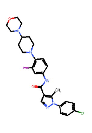 Cc1c(C(=O)Nc2ccc(N3CCC(N4CCOCC4)CC3)c(I)c2)cnn1-c1ccc(Cl)cc1